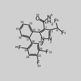 Cn1nc(C(F)F)c(C(N)=O)c1-c1ccccc1-c1cc(F)c(F)cc1F